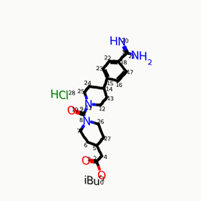 CC[C@@H](C)OC(=O)CC1CCN(C(=O)N2CCC(c3ccc(C(=N)N)cc3)CC2)CC1.Cl